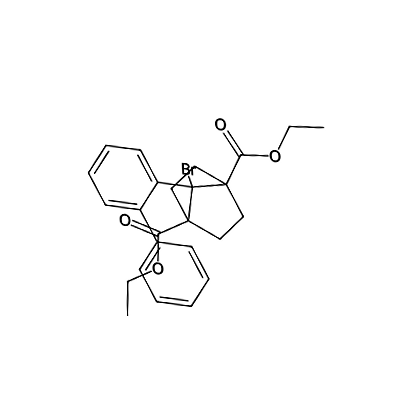 CCOC(=O)C12CCC(C(=O)OCC)(CC1)C2(Br)c1ccccc1-c1ccccc1